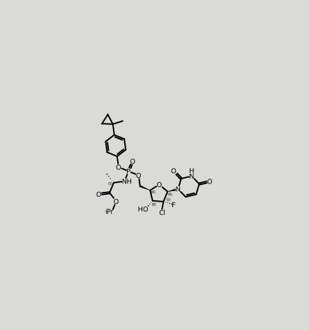 CC(C)OC(=O)[C@H](C)NP(=O)(OC[C@H]1O[C@@H](n2ccc(=O)[nH]c2=O)[C@@](F)(Cl)[C@@H]1O)Oc1ccc(C2(C)CC2)cc1